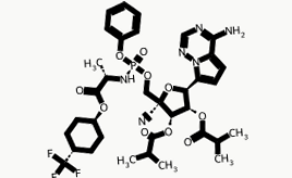 CC(C)C(=O)O[C@H]1[C@H](c2ccc3c(N)ncnn23)O[C@](C#N)(CO[P@@](=O)(N[C@@H](C)C(=O)O[C@H]2CC[C@H](C(F)(F)F)CC2)Oc2ccccc2)[C@H]1OC(=O)C(C)C